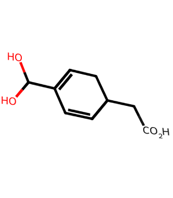 O=C(O)CC1C=CC(C(O)O)=CC1